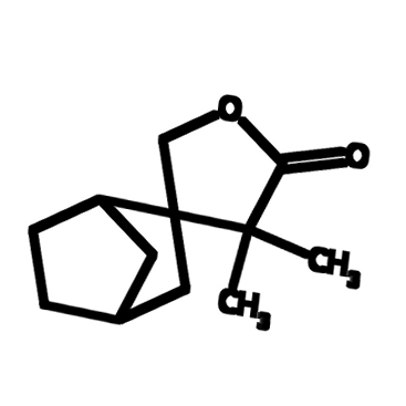 CC1(C)C(=O)OCC12CC1CCC2C1